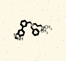 CN(C)CCCN(Cc1ccccc1)Cc1cccc(-c2ccc3[nH]cnc3c2)c1